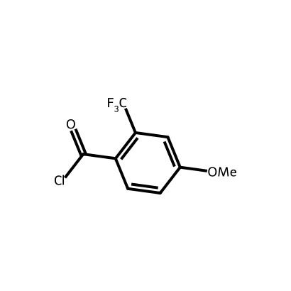 COc1ccc(C(=O)Cl)c(C(F)(F)F)c1